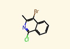 Cc1nc(Cl)c2ccccc2c1Br